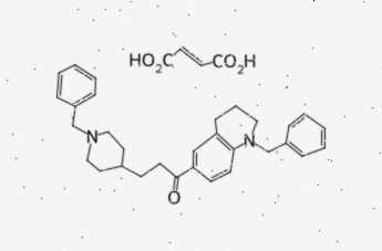 O=C(CCC1CCN(Cc2ccccc2)CC1)c1ccc2c(c1)CCCN2Cc1ccccc1.O=C(O)C=CC(=O)O